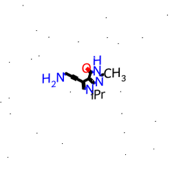 Cc1nc2c(c(C#CCN)cn2C(C)C)c(=O)[nH]1